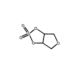 O=S1(=O)OC2COCC2O1